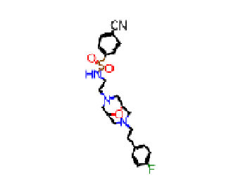 N#Cc1ccc(S(=O)(=O)NCCN2CC3CN(CCc4ccc(F)cc4)CC(C2)O3)cc1